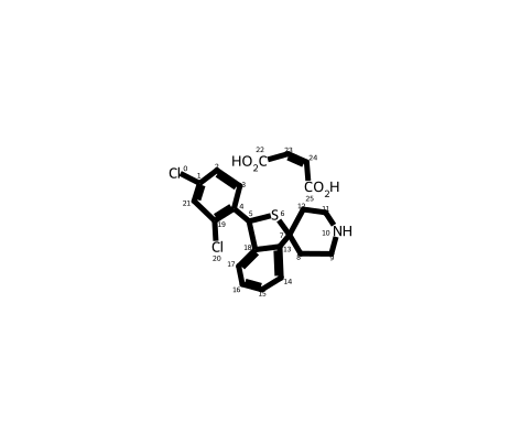 Clc1ccc(C2SC3(CCNCC3)c3ccccc32)c(Cl)c1.O=C(O)/C=C\C(=O)O